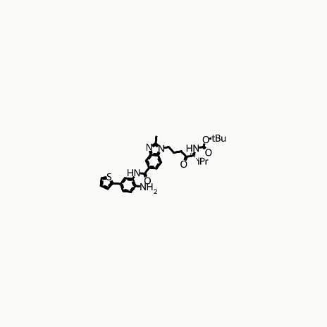 Cc1nc2cc(C(=O)Nc3cc(-c4cccs4)ccc3N)ccc2n1CCCC(=O)[C@H](NC(=O)OC(C)(C)C)C(C)C